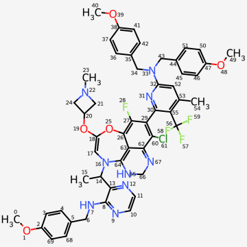 COc1ccc(CNc2nccnc2C(C)N2C=C(OC3CN(C)C3)Oc3c(F)c(-c4nc(N(Cc5ccc(OC)cc5)Cc5ccc(OC)cc5)cc(C)c4C(F)(F)F)c(Cl)c4c3=C2NCN=4)cc1